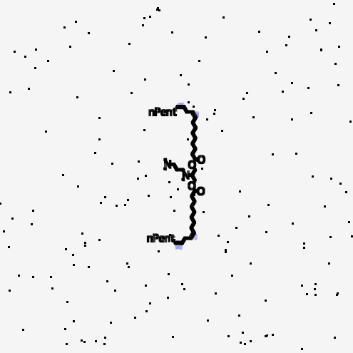 CCCCC/C=C\C/C=C\CCCCCCCC(=O)OCC(COC(=O)CCCCCCC/C=C\C/C=C\CCCCC)N(C)CCCN(C)C